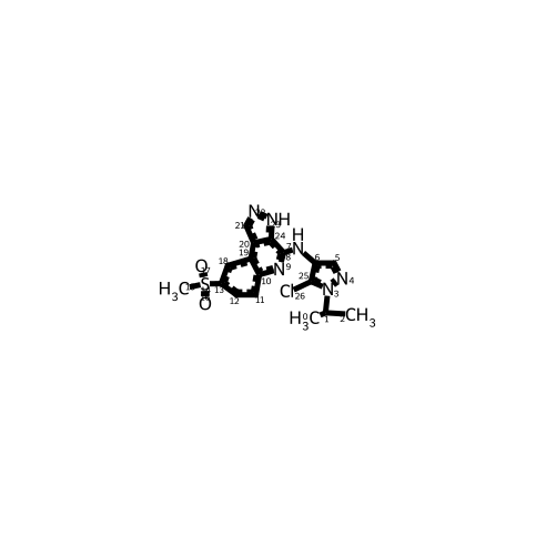 CC(C)n1ncc(Nc2nc3ccc(S(C)(=O)=O)cc3c3cn[nH]c23)c1Cl